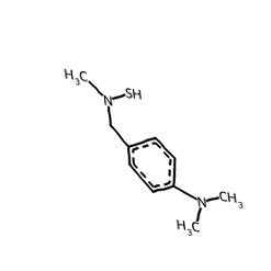 CN(S)Cc1ccc(N(C)C)cc1